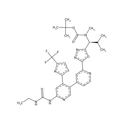 CCNC(=O)Nc1cc(-c2nc(C(F)(F)F)cs2)c(-c2ccnc(-c3nnc([C@H](C(C)C)N(C)C(=O)OC(C)(C)C)o3)c2)cn1